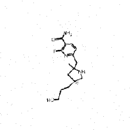 CC1(Cc2ccc(C(N)=O)c(F)n2)C[C@H](CCCO)CN1